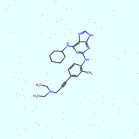 CCN(CC)CC#Cc1ccc(Nc2nc(NC3CCCCC3)c3nc[nH]c3n2)c(C)c1